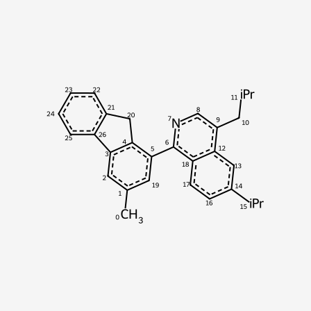 Cc1cc2c(c(-c3ncc(CC(C)C)c4cc(C(C)C)ccc34)c1)Cc1ccccc1-2